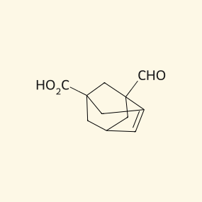 O=CC12CC3C=C1CC(C(=O)O)(C3)C2